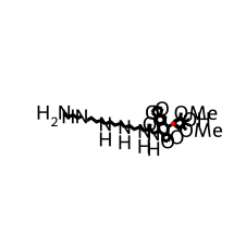 COc1cc(C2c3cc4c(cc3C(NC(=O)NCCCNCCCNCCCCNCCCN)C3COC(=O)C23)OCO4)cc(OC)c1O